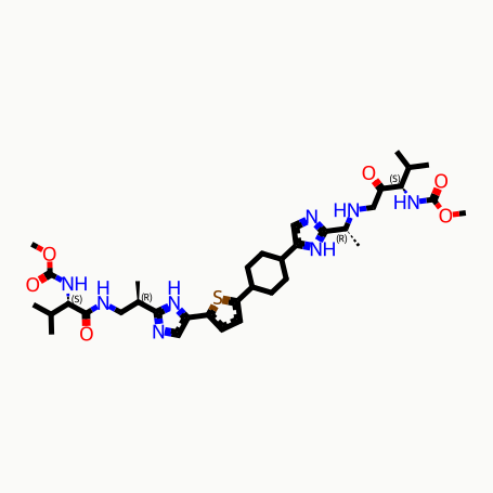 COC(=O)N[C@H](C(=O)CN[C@H](C)c1ncc(C2CCC(c3ccc(-c4cnc([C@H](C)CNC(=O)[C@@H](NC(=O)OC)C(C)C)[nH]4)s3)CC2)[nH]1)C(C)C